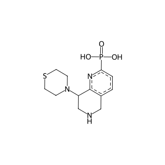 O=P(O)(O)c1ccc2c(n1)C(N1CCSCC1)CNC2